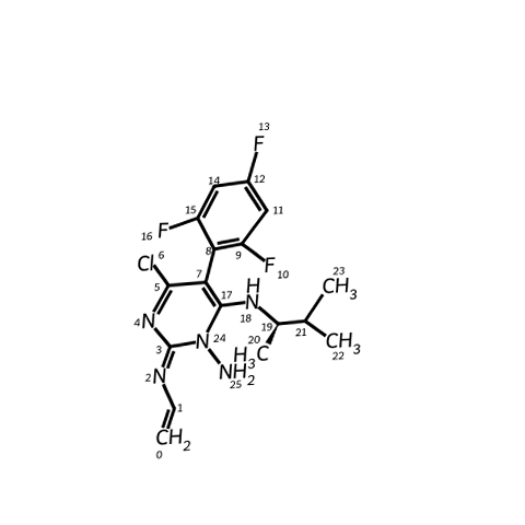 C=C/N=c1/nc(Cl)c(-c2c(F)cc(F)cc2F)c(N[C@H](C)C(C)C)n1N